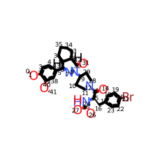 COc1ccc(C2=NN(C3CCN(C(=O)[C@@H](Cc4ccc(Br)cc4)NC(=O)O)CC3)C(=O)[C@@H]3CCCC[C@H]23)cc1OC